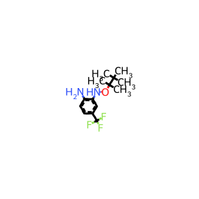 CC(C)(C)C(C)(C)ONc1cc(C(F)(F)F)ccc1N